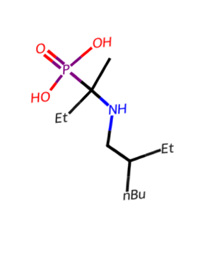 CCCCC(CC)CNC(C)(CC)P(=O)(O)O